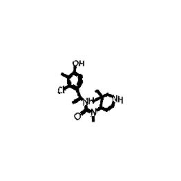 Cc1c(O)ccc(C(C)NC(=O)N(C)C2CCNCC2(C)C)c1Cl